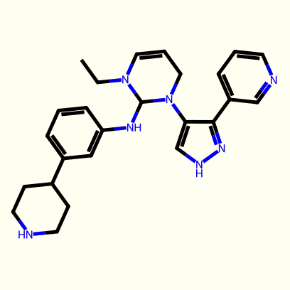 CCN1C=CCN(c2c[nH]nc2-c2cccnc2)C1Nc1cccc(C2CCNCC2)c1